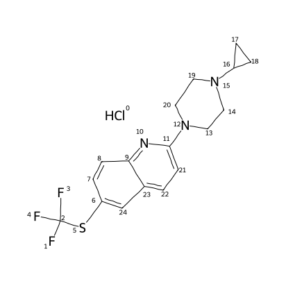 Cl.FC(F)(F)Sc1ccc2nc(N3CCN(C4CC4)CC3)ccc2c1